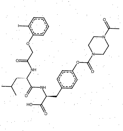 CC(=O)N1CCN(C(=O)Oc2ccc(C[C@H](NC(=O)[C@H](CC(C)C)NC(=O)COc3ccccc3I)C(=O)O)cc2)CC1